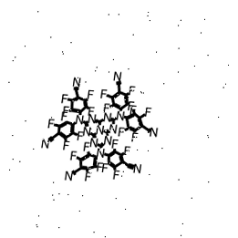 N#Cc1c(F)c(F)c(N(C2=NC3=NC(N(c4c(F)c(F)c(C#N)c(F)c4F)c4c(F)c(F)c(C#N)c(F)c4F)=NC4=NC(N(c5c(F)c(F)c(C#N)c(F)c5F)c5c(F)c(F)c(C#N)c(F)c5F)=NC(=N2)N34)c2c(F)c(F)c(C#N)c(F)c2F)c(F)c1F